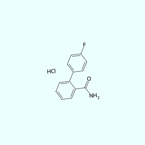 Cl.NC(=O)c1ccccc1-c1ccc(F)cc1